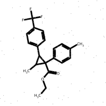 CCOC(=O)C1(c2ccc(C)cc2)C(C)C1c1ccc(C(F)(F)F)cc1